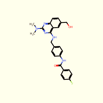 CN(C)c1nc(NCc2ccc(NC(=O)c3ccc(F)cc3)cc2)c2cc(CO)ccc2n1